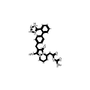 CCCc1c(Cc2ccc(-c3ccccc3-c3nnn[nH]3)cc2)c(=O)n2n1CCCC2CC(=O)OC(=O)C(C)(C)C